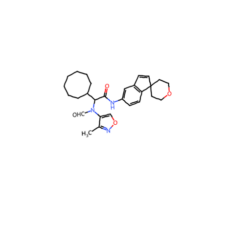 Cc1nocc1N(C=O)C(C(=O)Nc1ccc2c(c1)C=CC21CCOCC1)C1CCCCCCC1